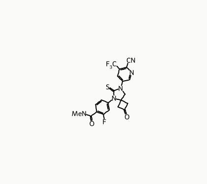 CNC(=O)c1ccc(N2C(=S)N(c3cnc(C#N)c(C(F)(F)F)c3)CC23CC(=O)C3)cc1F